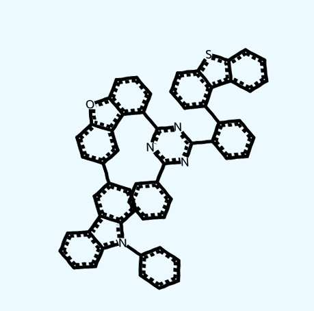 c1ccc(-c2nc(-c3ccccc3-c3cccc4sc5ccccc5c34)nc(-c3cccc4oc5ccc(-c6ccc7c(c6)c6ccccc6n7-c6ccccc6)cc5c34)n2)cc1